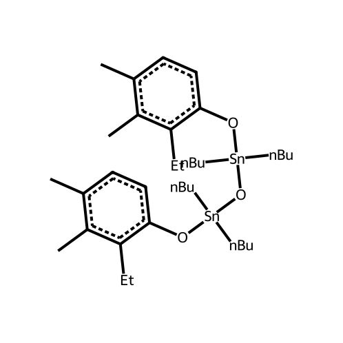 CCC[CH2][Sn]([CH2]CCC)([O]c1ccc(C)c(C)c1CC)[O][Sn]([CH2]CCC)([CH2]CCC)[O]c1ccc(C)c(C)c1CC